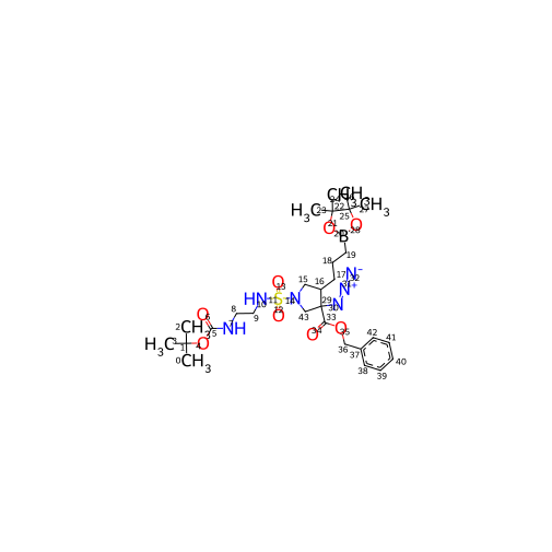 CC(C)(C)OC(=O)NCCNS(=O)(=O)N1CC(CCCB2OC(C)(C)C(C)(C)O2)C(N=[N+]=[N-])(C(=O)OCc2ccccc2)C1